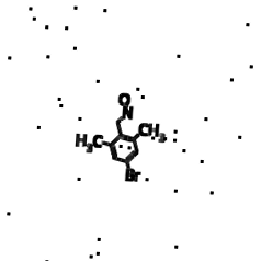 Cc1cc(Br)cc(C)c1CN=O